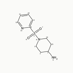 NC1CCN(S(=O)(=O)c2ccccn2)CC1